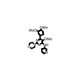 COc1ccc(-c2nc(N3CCOCC3)nc(Nc3cccnc3)c2OC)cc1OC